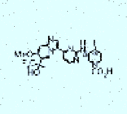 COc1cc2ncc(-c3ccnc(N[C@H]4CN(C(=O)O)CC[C@@H]4F)n3)n2cc1C(C)(O)C(F)(F)F